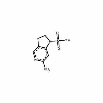 CC(C)(C)S(=O)(=O)N1CCc2cnc(N)cc21